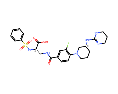 O=C(NC[C@H](NS(=O)(=O)c1ccccc1)C(=O)O)c1ccc(N2CCC[C@@H](NC3=NCCCN3)C2)c(F)c1